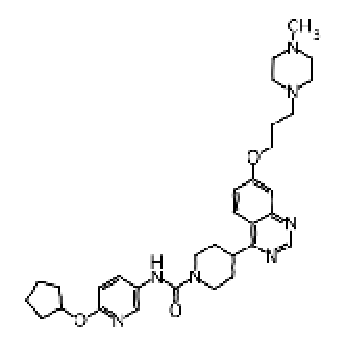 CN1CCN(CCCOc2ccc3c(C4CCN(C(=O)Nc5ccc(OC6CCCC6)nc5)CC4)ncnc3c2)CC1